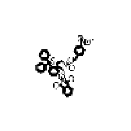 O=C1c2ccccc2C(=O)N1OC[C@@H]1C[C@H](SC(c2ccccc2)(c2ccccc2)c2ccccc2)CN1C(=O)OCc1ccc([N+](=O)[O-])cc1